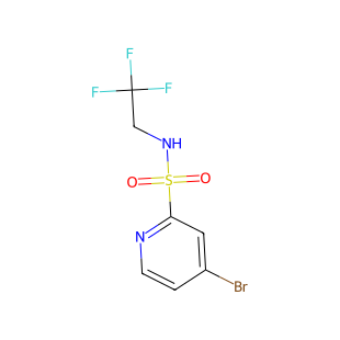 O=S(=O)(NCC(F)(F)F)c1cc(Br)ccn1